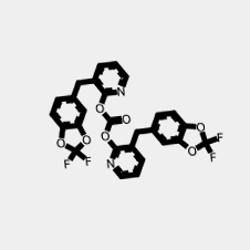 O=C(Oc1ncccc1Cc1ccc2c(c1)OC(F)(F)O2)Oc1ncccc1Cc1ccc2c(c1)OC(F)(F)O2